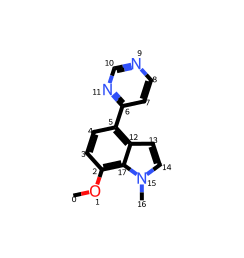 COc1ccc(-c2ccncn2)c2ccn(C)c12